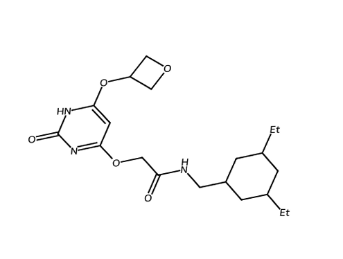 CCC1CC(CC)CC(CNC(=O)COc2cc(OC3COC3)[nH]c(=O)n2)C1